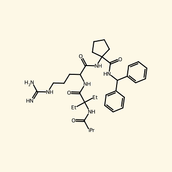 CCC(CC)(NC(=O)C(C)C)C(=O)NC(CCCNC(=N)N)C(=O)NC1(C(=O)NC(c2ccccc2)c2ccccc2)CCCC1